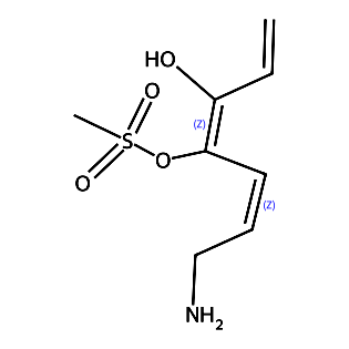 C=C/C(O)=C(\C=C/CN)OS(C)(=O)=O